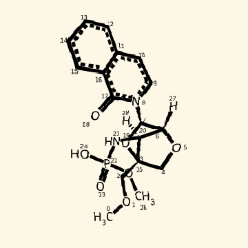 COC[C@@]12CO[C@@H]([C@H](n3ccc4ccccc4c3=O)O1)[C@@H]2NP(=O)(O)OC